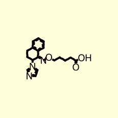 O=C(O)CCCCON=C1c2ccccc2CCC1n1ccnc1